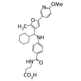 COc1ccc(-c2cc(C(Nc3ccc(C(=O)NCCC(=O)O)cc3)C3CCCCC3)c(C)o2)cn1